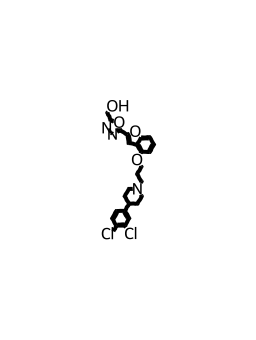 OCc1nnc(-c2cc3c(OCCCN4CCC(c5ccc(Cl)c(Cl)c5)CC4)cccc3o2)o1